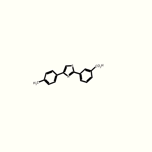 Cc1ccc(-c2csc(-c3cccc(C(=O)O)c3)n2)cc1